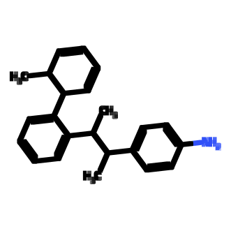 CC1C=CC=CC1c1ccccc1C(C)C(C)c1ccc(N)cc1